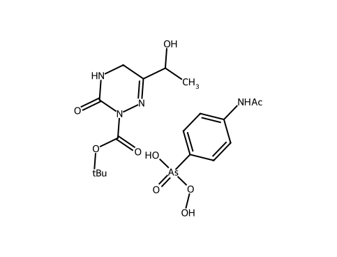 CC(=O)Nc1ccc([As](=O)(O)OO)cc1.CC(O)C1=NN(C(=O)OC(C)(C)C)C(=O)NC1